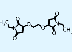 CCN1C(=O)C=C(OCCOC2=CC(=O)N(CC)C2=O)C1=O